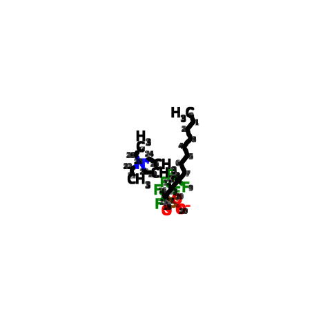 CCCCCCCCC(F)(F)C(F)(F)C(F)(F)S(=O)(=O)[O-].CC[N+](CC)(CC)CC